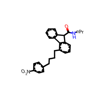 CCCNC(=O)C1c2ccccc2-c2c(CCCCc3ccc([N+](=O)[O-])cc3)cccc21